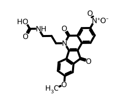 COc1ccc2c(c1)C(=O)c1c-2n(CCCNC(=O)O)c(=O)c2cc([N+](=O)[O-])ccc12